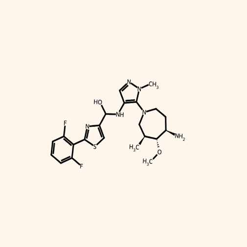 CO[C@H]1[C@H](N)CCN(c2c(NC(O)c3csc(-c4c(F)cccc4F)n3)cnn2C)C[C@@H]1C